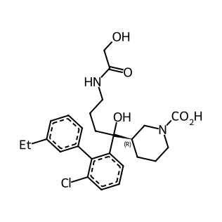 CCc1cccc(-c2c(Cl)cccc2C(O)(CCCNC(=O)CO)[C@@H]2CCCN(C(=O)O)C2)c1